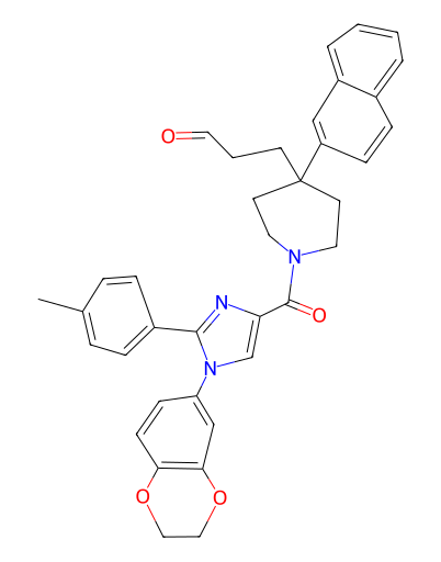 Cc1ccc(-c2nc(C(=O)N3CCC(CCC=O)(c4ccc5ccccc5c4)CC3)cn2-c2ccc3c(c2)OCCO3)cc1